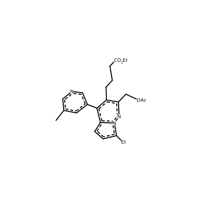 CCOC(=O)CCCc1c(COC(C)=O)nn2c(CC)ccc2c1-c1cncc(C)c1